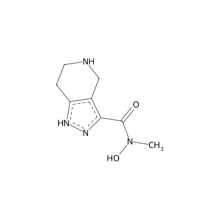 CN(O)C(=O)c1n[nH]c2c1CNCC2